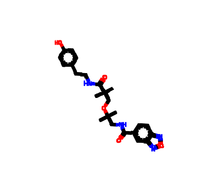 CC(C)(CNC(=O)c1ccc2nonc2c1)OCC(C)(C)C(=O)NCCc1ccc(O)cc1